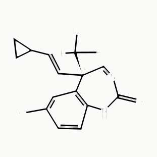 O=C1N=C[C@](C=CC2CC2)(C(F)(F)F)c2cc(Cl)ccc2N1